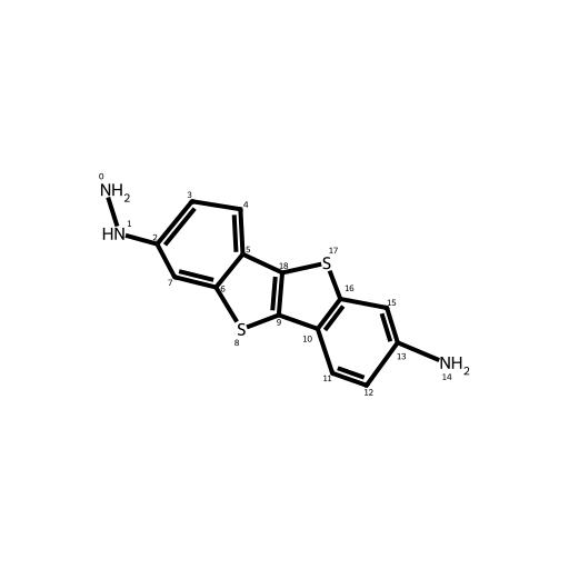 NNc1ccc2c(c1)sc1c3ccc(N)cc3sc21